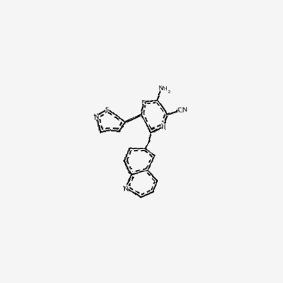 N#Cc1nc(-c2ccc3ncccc3c2)c(-c2ccns2)nc1N